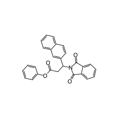 O=C(CC(c1ccc2ccccc2c1)N1C(=O)c2ccccc2C1=O)Oc1ccccc1